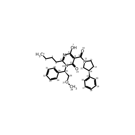 CCCCc1nc(O)c(C(=O)N2CC[C@@H](c3ccccc3)C2)c(=O)n1[C@@H](COC)c1ccccc1